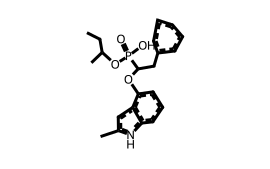 CCC(C)OP(=O)(O)C(Cc1ccccc1)Oc1cccc2[nH]c(C)cc12